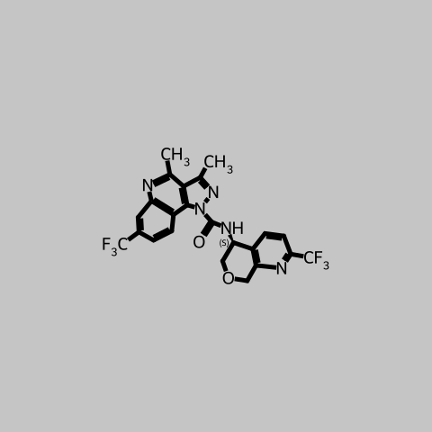 Cc1nc2cc(C(F)(F)F)ccc2c2c1c(C)nn2C(=O)N[C@@H]1COCc2nc(C(F)(F)F)ccc21